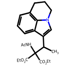 CCOC(=O)C(NC(C)=O)(C(=O)OCC)C(C)c1cn2c3c(cccc13)CCC2